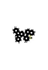 CC1(c2ccccc2)c2ccccc2-c2ccc(-c3cccc4c3-c3cccc5cccc(c35)S4)cc21